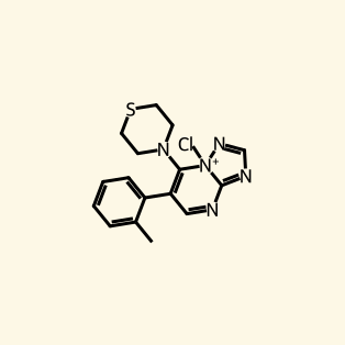 Cc1ccccc1C1=C(N2CCSCC2)[N+]2(Cl)N=CN=C2N=C1